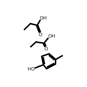 CCC(=O)O.CCC(=O)O.Cc1ccc(O)cc1